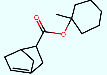 CC1(OC(=O)C2CC3=CCC2C3)CCCCC1